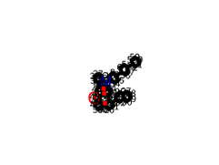 c1ccc(-c2ccc(-c3ccc(N(c4ccc(-c5ccccc5-c5ccc6ccccc6c5)cc4)c4ccccc4-c4ccc5c(c4)oc4ccccc45)cc3)cc2)cc1